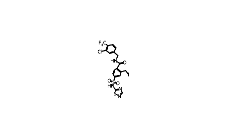 O=C(NCc1ccc(C(F)(F)F)c(Cl)c1)c1ccc(S(=O)(=O)Nc2ncns2)cc1CI